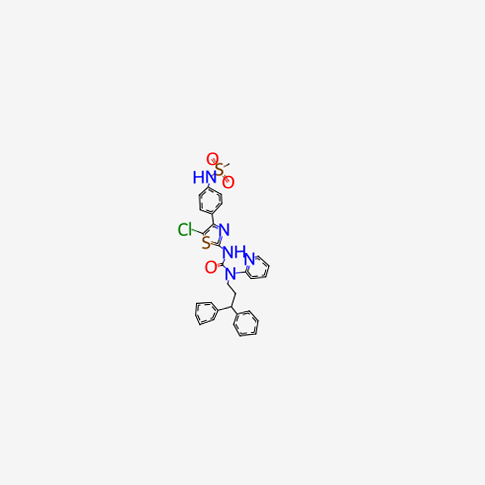 CS(=O)(=O)Nc1ccc(-c2nc(NC(=O)N(CCC(c3ccccc3)c3ccccc3)c3ccccn3)sc2Cl)cc1